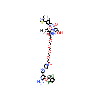 Cc1ncsc1-c1ccc(CNC(=O)[C@@H]2C[C@@H](O)CN2C(=O)[C@@H](NC(=O)CCOCCOCCOCCOCCC(=O)N2CCC(n3cc(-c4cnc(N)c(O[C@H](C)c5c(Cl)ccc(F)c5Cl)c4)cn3)CC2)C(C)(C)C)cc1